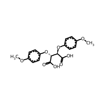 COc1ccc(O[C@@H](C(=O)O)[C@@H](Oc2ccc(OC)cc2)C(=O)O)cc1